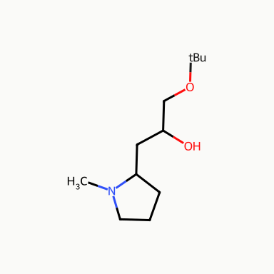 CN1CCCC1CC(O)COC(C)(C)C